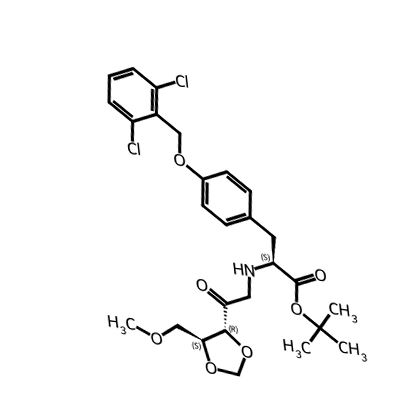 COC[C@@H]1OCO[C@H]1C(=O)CN[C@@H](Cc1ccc(OCc2c(Cl)cccc2Cl)cc1)C(=O)OC(C)(C)C